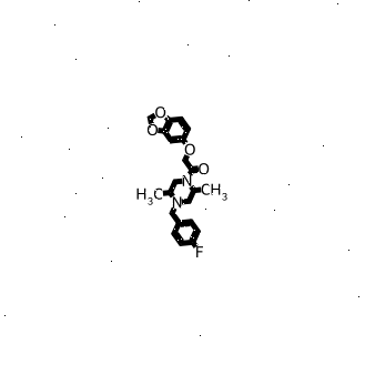 CC1CN(C(=O)COc2ccc3c(c2)OCO3)C(C)CN1Cc1ccc(F)cc1